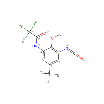 COc1c(N=C=O)cc(C(C)(C)C)cc1NC(=O)C(F)(F)F